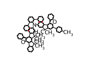 Cc1ccc(-c2cc3c(c4c2oc2ccccc24)-c2ccc(N(c4ccc5c(c4)C(C)(C)c4c6c(c7oc8ccccc8c7c4-5)-c4ccccc4C6(C)C)c4c(-c5ccccc5)cccc4-c4ccccc4)cc2C3(C)C)cc1